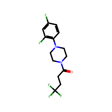 O=C(CCC(F)(F)F)N1CCN(c2ccc(F)cc2F)CC1